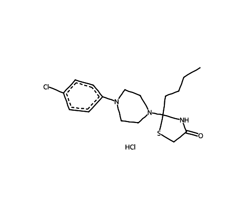 CCCCC1(N2CCN(c3ccc(Cl)cc3)CC2)NC(=O)CS1.Cl